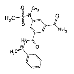 C[C@@H](NC(=O)c1cc(C(N)=O)cc(N(C)S(C)(=O)=O)c1)c1ccccc1